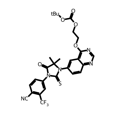 CC(C)(C)OC(=O)OCCOc1ncnc2ccc(N3C(=S)N(c4ccc(C#N)c(C(F)(F)F)c4)C(=O)C3(C)C)cc12